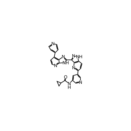 O=C(Nc1cncc(-c2ccc3[nH]nc(-c4nc5c(-c6ccncc6)ccnc5[nH]4)c3n2)c1)C1CC1